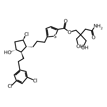 NC(=O)CC(CO)(CO)COC(=O)c1ccc(CCC[C@@H]2[C@@H](CCc3cc(Cl)cc(Cl)c3)[C@H](O)C[C@H]2Cl)s1